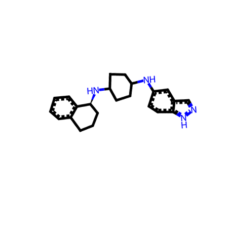 c1ccc2c(c1)CCC[C@@H]2NC1CCC(Nc2ccc3[nH]ncc3c2)CC1